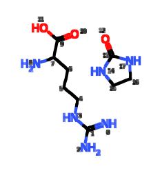 N=C(N)NCCCC(N)C(=O)O.O=C1NCCN1